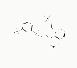 CC(C)(C)CCN1CC=CC(OC(=O)O)=C1SCCC(F)(F)c1cccc(C(F)(F)F)c1